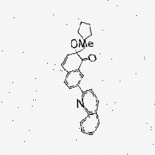 COC1(CC2CCCC2)C=Cc2ccc(-c3ccc4ccccc4n3)cc2C1=O